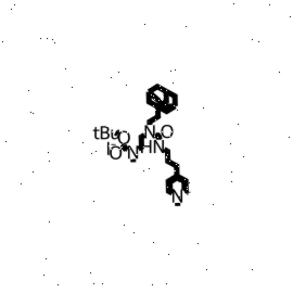 CN(CCN(CCC12CC3CC(CC(C3)C1)C2)C(=O)NCCCc1cc[n+](C)cc1)C(=O)OC(C)(C)C.[I-]